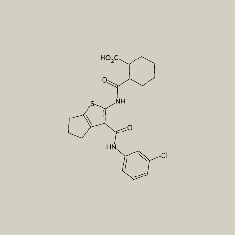 O=C(Nc1cccc(Cl)c1)c1c(NC(=O)C2CCCCC2C(=O)O)sc2c1CCC2